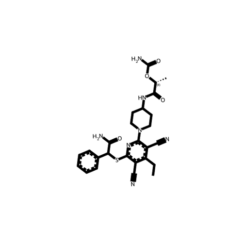 CCc1c(C#N)c(SC(C(N)=O)c2ccccc2)nc(N2CCC(NC(=O)[C@@H](C)OC(N)=O)CC2)c1C#N